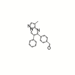 Cc1cnn2cc(-c3ccccc3)c(-c3ccc(C=O)cc3)nc12